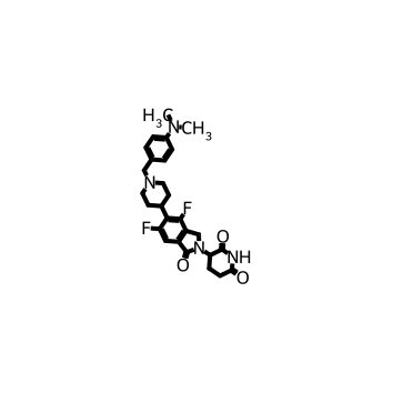 CN(C)c1ccc(CN2CCC(c3c(F)cc4c(c3F)CN(C3CCC(=O)NC3=O)C4=O)CC2)cc1